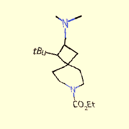 CCOC(=O)N1CCC2(CC1)CC(N(C)C)C2C(C)(C)C